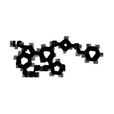 COC1(c2cc(OC3CC(OCc4ccccc4)C3)cc(-c3cn(C)c4cnc(NC(C)=O)cc34)n2)CCOC1